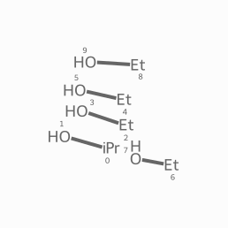 CC(C)O.CCO.CCO.CCO.CCO